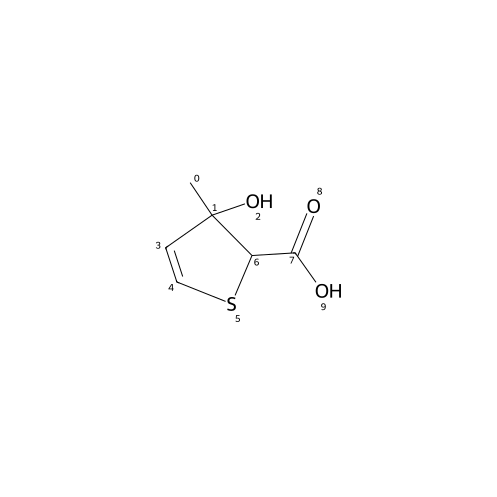 CC1(O)C=CSC1C(=O)O